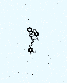 CN(CCCOc1ccc(Cl)c(Cl)c1)CC1CN=C([C@](O)(c2ccccc2)C2CCCCC2)O1